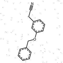 N#C[CH]c1cccc(OCc2ccccc2)c1